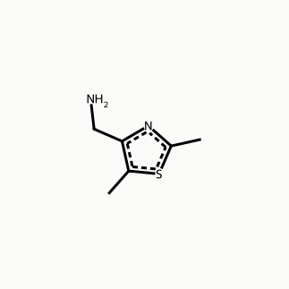 Cc1nc(CN)c(C)s1